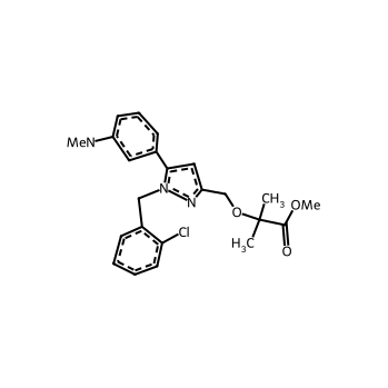 CNc1cccc(-c2cc(COC(C)(C)C(=O)OC)nn2Cc2ccccc2Cl)c1